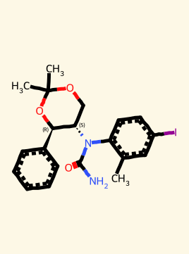 Cc1cc(I)ccc1N(C(N)=O)[C@H]1COC(C)(C)O[C@@H]1c1ccccc1